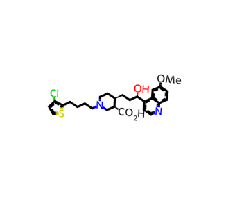 COc1ccc2nccc([C@H](O)CC[C@@H]3CCN(CCCCc4sccc4Cl)C[C@@H]3C(=O)O)c2c1